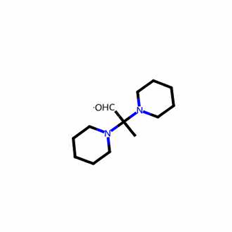 CC([C]=O)(N1CCCCC1)N1CCCCC1